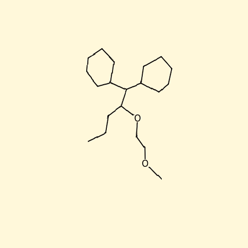 CCCC(OCCOC)C(C1CCCCC1)C1CCCCC1